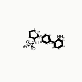 CC(C)S(=O)(=O)N[C@H]1CCCO[C@@H]1c1ccc(-c2ccccc2N)cc1